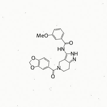 COc1cccc(C(=O)Nc2[nH]nc3c2CN(C(=O)c2ccc4c(c2)OCO4)CC3)c1